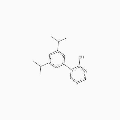 CC(C)c1cc(-c2ccccc2O)cc(C(C)C)c1